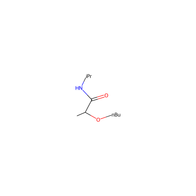 CCCCOC(C)C(=O)NC(C)C